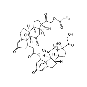 CC(=O)OCC(=O)[C@@]1(O)CC[C@H]2[C@@H]3CCC4=CC(=O)CC(CC(=O)OC5CC(=O)C=C6CC[C@H]7[C@@H]8CC[C@](O)(C(=O)CO)[C@@]8(C)CC(=O)[C@@H]7[C@]65C)[C@]4(C)[C@H]3C(=O)C[C@@]21C